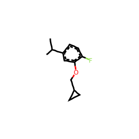 CC(C)c1ccc(F)c(OCC2CC2)c1